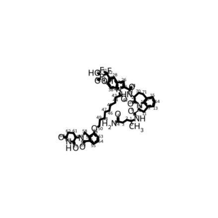 C[C@H](CCC(N)=O)NC(=O)[C@@H]1Cc2cccc3c2N1C(=O)[C@@H](NC(=O)c1cc2cc(C(F)(F)P(=O)(O)O)ccc2n1C(=O)CCCCCCCCOc1cccc2c1CN(C1CCC(=O)NC1=O)C2=O)CC3